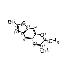 CC(Oc1ccc2nc(Br)sc2c1)C(O)=S